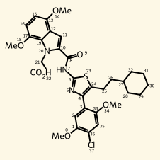 COc1cc(-c2nc(NC(=O)c3cc4c(OC)ccc(OC)c4n3CC(=O)O)sc2CCC2CCCCC2)c(OC)cc1Cl